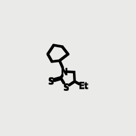 CCC1CN(C2CCCCC2)C(=S)S1